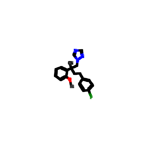 CCOc1ccccc1C(C#N)(CCc1ccc(F)cc1)Cn1cncn1